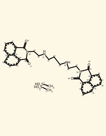 CS(=O)(=O)O.CS(=O)(=O)O.O=C1c2cccc3cccc(c23)C(=O)N1CCNCCCNCCN1C(=O)c2cccc3cccc(c23)C1=O